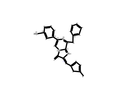 C=c1/c(=C/C2=CC=C(C)C2)nc2c(Cc3ccccc3)nc(-c3cccc(S)c3)cn12